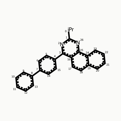 CC(C)c1nc(-c2ccc(-c3ccccc3)cc2)c2ccc3ccccc3c2n1